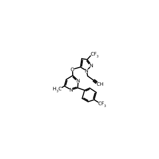 C#CCn1nc(C(F)(F)F)cc1Oc1cc(C)nc(-c2ccc(C(F)(F)F)cc2)n1